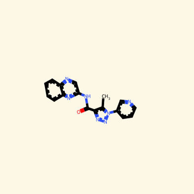 Cc1c(C(=O)Nc2cnc3ccccc3n2)nnn1-c1cccnc1